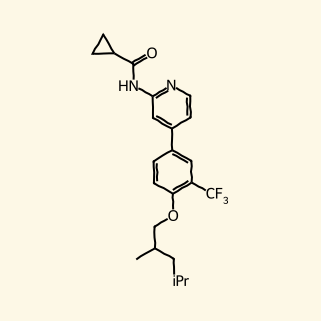 CC(C)CC(C)COc1ccc(-c2ccnc(NC(=O)C3CC3)c2)cc1C(F)(F)F